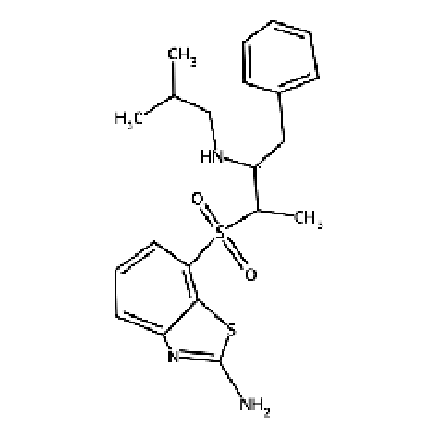 CC(C)CN[C](Cc1ccccc1)C(C)S(=O)(=O)c1cccc2nc(N)sc12